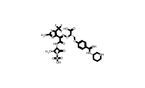 C[C@H]1[C@H](NC(=O)/C(=N\O[C@@H](COc2ccc(C(=N)N[C@H]3CCCNC3)cc2)C(=O)O)c2nc(N)sc2C(F)(F)F)C(=O)N1S(=O)(=O)O